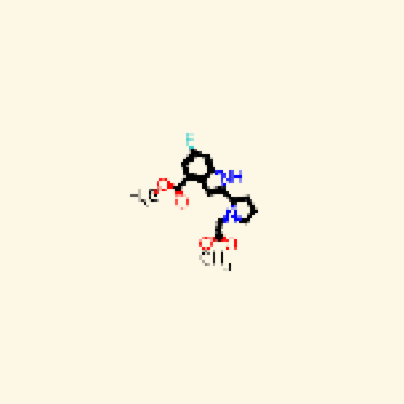 COC(=O)CN1CCCC1c1cc2c(C(=O)OC)cc(F)cc2[nH]1